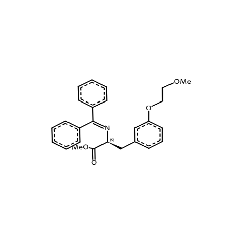 COCCOc1cccc(C[C@H](N=C(c2ccccc2)c2ccccc2)C(=O)OC)c1